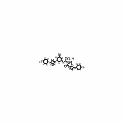 Cc1ccc(-c2ccc(C(=O)NC(Cc3cc(Br)cc(-c4noc(-c5ccc(C)cc5)n4)c3)C(=O)O)o2)cc1